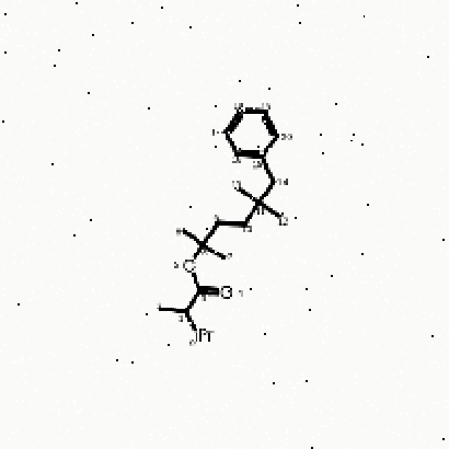 CC(C)C(C)C(=O)OC(C)(C)CCC(C)(C)Cc1ccccc1